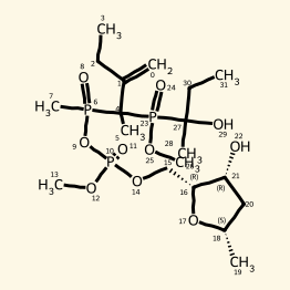 C=C(CC)C(C)(P(C)(=O)OP(=O)(OC)OC[C@H]1O[C@@H](C)C[C@H]1O)P(=O)(OC)C(C)(O)CC